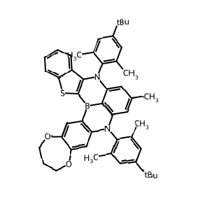 Cc1cc2c3c(c1)N(c1c(C)cc(C(C)(C)C)cc1C)c1c(sc4ccccc14)B3c1cc3c(cc1N2c1c(C)cc(C(C)(C)C)cc1C)OCCCO3